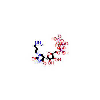 NC/C=C/n1cc([C@@H]2O[C@H](COP(=O)(O)OP(=O)(O)OP(=O)(O)O)C(O)C2O)c(=O)[nH]c1=O